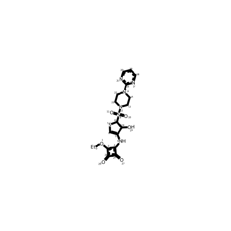 CCOc1c(NC2=CSC(S(=O)(=O)N3CCN(c4ncccn4)CC3)C2O)c(=O)c1=O